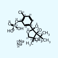 CC(C)(C)C12OOC1(c1ccc(Cl)c(OP(=O)(O)O)c1)OCC2(C)C.[Na].[Na]